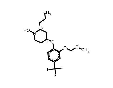 CCC[C@H]1C[C@@H](Oc2ccc(C(F)(F)F)cc2OCOC)CCN1O